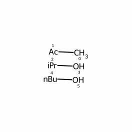 CC(C)=O.CC(C)O.CCCCO